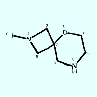 IN1CC2(CNCCO2)C1